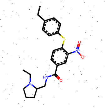 CCc1ccc(Sc2ccc(C(=O)NCC3CCCN3CC)cc2[N+](=O)[O-])cc1